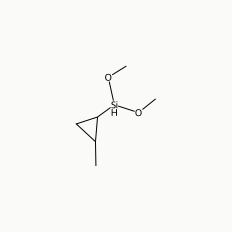 CO[SiH](OC)C1CC1C